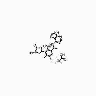 COc1c(C(C)Nc2ncnc3[nH]cnc23)cc(Cl)c(C)c1C1CN(C(C)C)C(=O)O1.O=C(O)C(F)(F)F